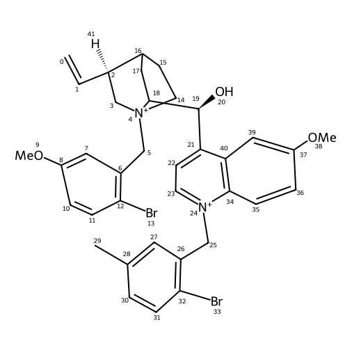 C=C[C@@H]1C[N+]2(Cc3cc(OC)ccc3Br)CCC1CC2[C@@H](O)c1cc[n+](Cc2cc(C)ccc2Br)c2ccc(OC)cc12